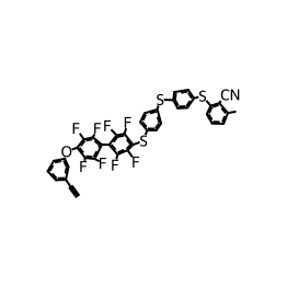 C#Cc1cccc(Oc2c(F)c(F)c(-c3c(F)c(F)c(Sc4ccc(Sc5ccc(Sc6cccc(C)c6C#N)cc5)cc4)c(F)c3F)c(F)c2F)c1